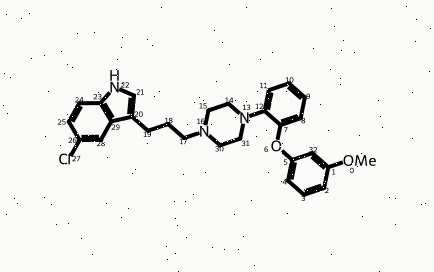 COc1cccc(Oc2ccccc2N2CCN(CCCc3c[nH]c4ccc(Cl)cc34)CC2)c1